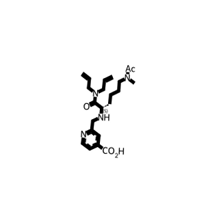 C=CCN(CC=C)C(=O)[C@H](CCCCN(C)C(C)=O)NCc1cc(C(=O)O)ccn1